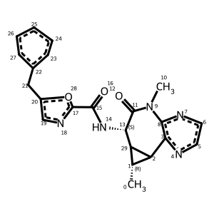 C[C@H]1C2c3nccnc3N(C)C(=O)[C@@H](NC(=O)c3ncc(Cc4ccccc4)o3)C21